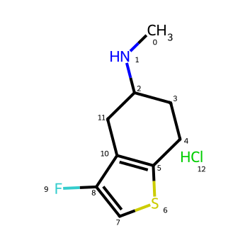 CNC1CCc2scc(F)c2C1.Cl